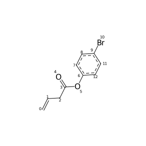 C=CCC(=O)Oc1ccc(Br)cc1